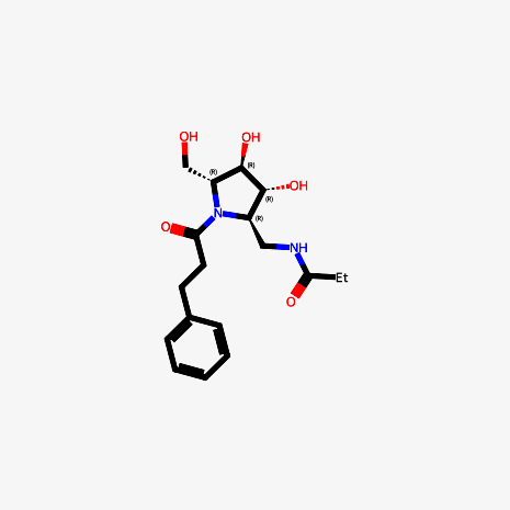 CCC(=O)NC[C@@H]1[C@@H](O)[C@H](O)[C@@H](CO)N1C(=O)CCc1ccccc1